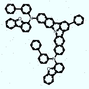 c1ccc(-c2cccc(N(c3ccc4cc5c6cc(-c7ccccc7)cc7c8cc9ccc(N(c%10cccc(-c%11ccccc%11)c%10)c%10cccc%11c%10oc%10ccccc%10%11)cc9cc8n(c5cc4c3)c67)c3cccc4c3oc3ccccc34)c2)cc1